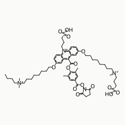 CCCC[N+](C)(C)CCCCCCCCOc1ccc2c(c1)c(C(=O)Oc1c(C)cc(C(=O)ON3C(=O)CCC3=O)cc1C)c1cc(OCCCCCCCC[N+](C)(C)CCCS(=O)(=O)O)ccc1[n+]2CCCS(=O)(=O)O